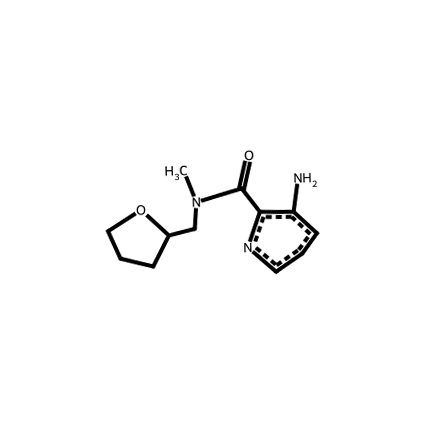 CN(CC1CCCO1)C(=O)c1ncccc1N